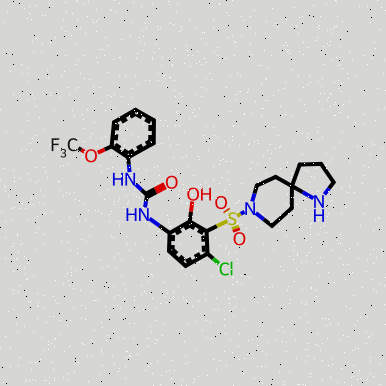 O=C(Nc1ccccc1OC(F)(F)F)Nc1ccc(Cl)c(S(=O)(=O)N2CCC3(CCCN3)CC2)c1O